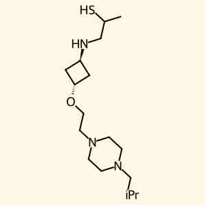 CC(C)CN1CCN(CCO[C@H]2C[C@H](NCC(C)S)C2)CC1